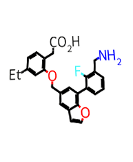 CCc1ccc(CC(=O)O)c(OCc2cc(-c3cccc(CN)c3F)c3occc3c2)c1